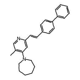 Cc1cnc(C=Cc2ccc(-c3ccccc3)cc2)cc1N1CCCCCC1